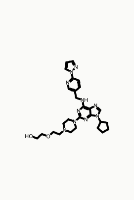 OCCOCCN1CCN(c2nc(NCc3ccc(-n4cccn4)nc3)c3ncn(C4CCCC4)c3n2)CC1